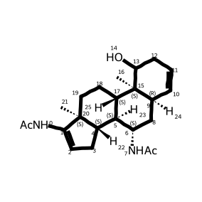 CC(=O)NC1=CC[C@H]2[C@@H]3[C@@H](NC(C)=O)C[C@@H]4C=CCC(O)[C@]4(C)[C@H]3CC[C@]12C